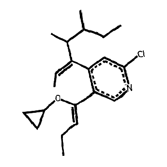 C/C=C(\c1cc(Cl)ncc1/C(=C/CC)OC1CC1)C(C)C(C)CC